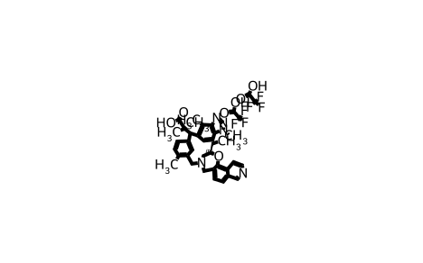 CC[C@@H]1CN(Cc2cc(C(c3ccc4c(nnn4C)c3C)C(C)(C)C(=O)O)ccc2C)Cc2ccc3cnccc3c2O1.O=C(O)C(F)(F)F.O=C(O)C(F)(F)F